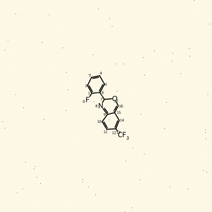 Fc1ccccc1C1N=c2ccc(C(F)(F)F)cc2=CO1